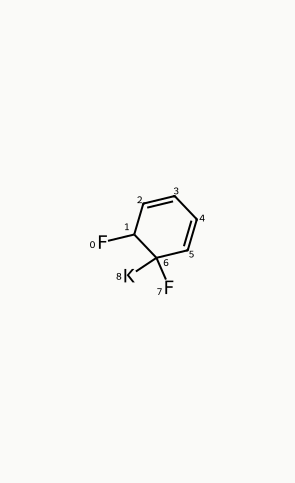 FC1C=CC=C[C]1(F)[K]